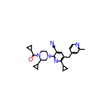 Cc1cc(Cc2cc(C#N)c(N3CCN(C(=O)C4CC4)C(C4CC4)C3)nc2C2CC2)ccn1